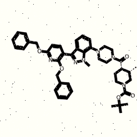 C[C@@H]1CN(C(=O)OC(C)(C)C)CC[C@@H]1C(=O)N1CCN(c2cccc3c(-c4ccc(OCc5ccccc5)nc4OCc4ccccc4)nn(C)c23)CC1